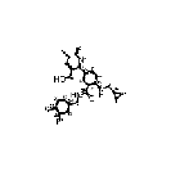 C=C/N=C(\C(=C/CC)CO)c1ccc(NCC2CC2)c(C(=O)NCc2ccc(C)c(F)c2)c1